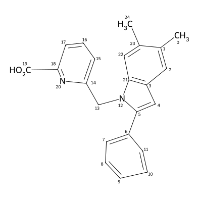 Cc1cc2cc(-c3ccccc3)n(Cc3cccc(C(=O)O)n3)c2cc1C